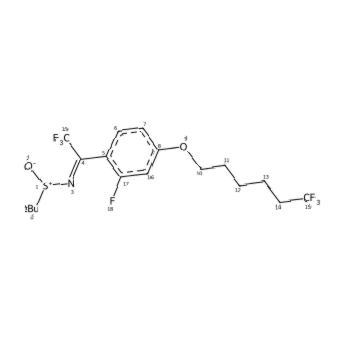 CC(C)(C)[S+]([O-])N=C(c1ccc(OCCCCCC(F)(F)F)cc1F)C(F)(F)F